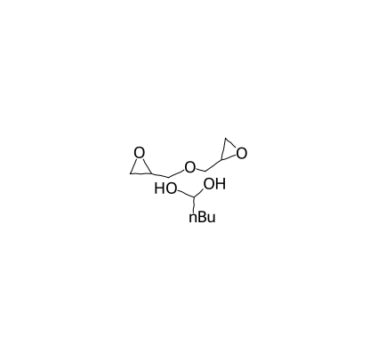 C(OCC1CO1)C1CO1.CCCCC(O)O